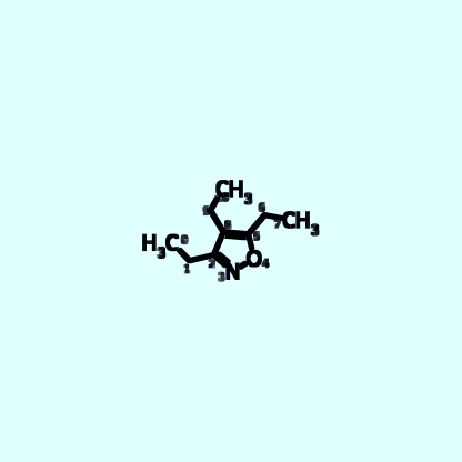 CCc1noc(CC)c1CC